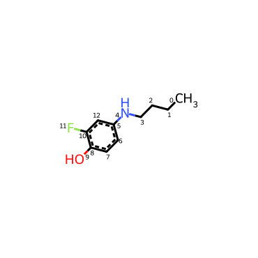 CCCCNc1ccc(O)c(F)c1